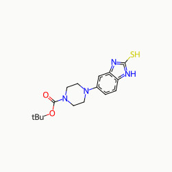 CC(C)(C)OC(=O)N1CCN(c2ccc3[nH]c(S)nc3c2)CC1